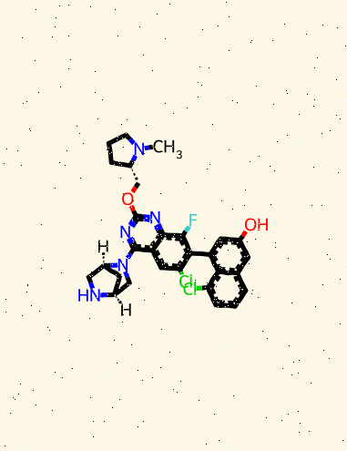 CN1CCC[C@H]1COc1nc(N2C[C@@H]3C[C@H]2CN3)c2cc(Cl)c(-c3cc(O)cc4cccc(Cl)c34)c(F)c2n1